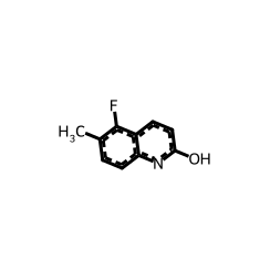 Cc1ccc2nc(O)ccc2c1F